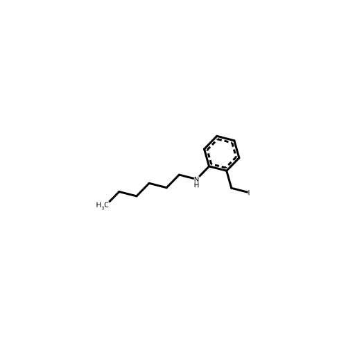 CCCCCCNc1ccccc1CI